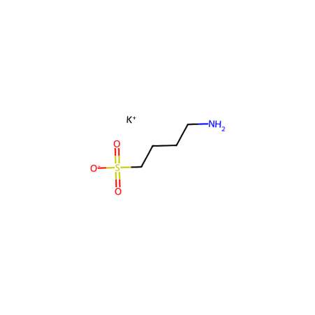 NCCCCS(=O)(=O)[O-].[K+]